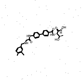 Cc1ccc(CNCC(=O)Nc2ccc(-c3ccc(C(=O)N[C@H](C(=O)NO)[C@@H](C)O)cc3)cc2)cc1C